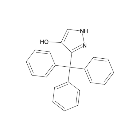 Oc1c[nH]nc1C(c1ccccc1)(c1ccccc1)c1ccccc1